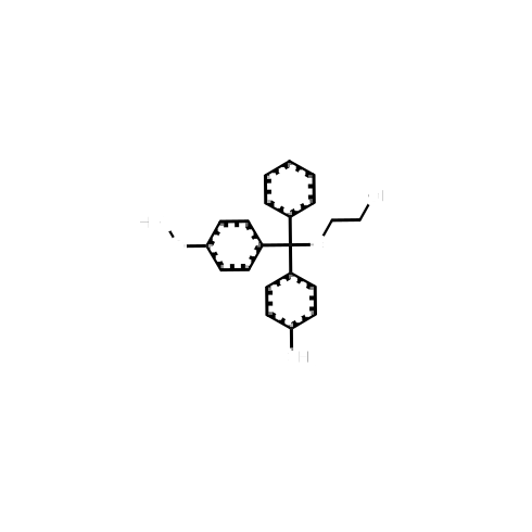 COc1ccc(C(OCCO)(c2ccccc2)c2ccc(C)cc2)cc1